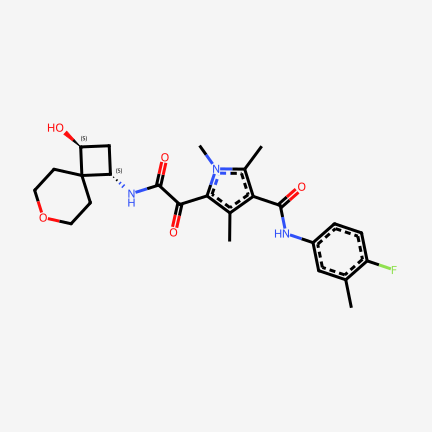 Cc1cc(NC(=O)c2c(C)c(C(=O)C(=O)N[C@H]3C[C@H](O)C34CCOCC4)n(C)c2C)ccc1F